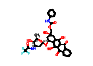 C[C@@H]1O[C@@H](O[C@H]2C[C@](O)(COC(=O)Nc3ccccc3)Cc3c(O)c4c(c(O)c32)C(=O)c2ccccc2C4=O)C[C@H](NC(=O)C(F)(F)F)[C@H]1O